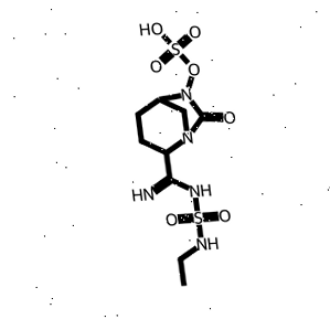 CCNS(=O)(=O)NC(=N)C1CCC2CN1C(=O)N2OS(=O)(=O)O